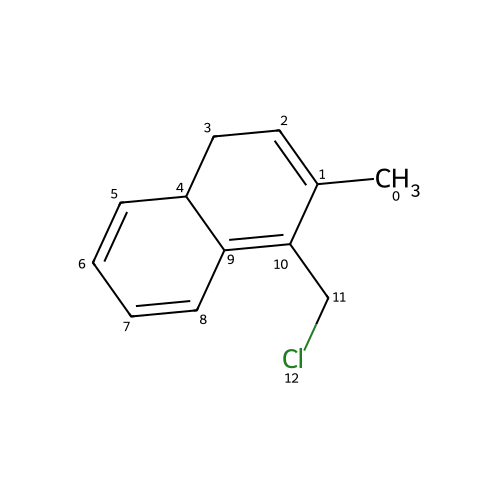 CC1=CCC2C=CC=CC2=C1CCl